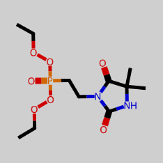 CCOOP(=O)(CCN1C(=O)NC(C)(C)C1=O)OOCC